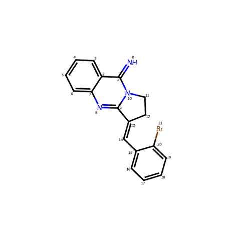 N=c1c2ccccc2nc2n1CC/C2=C\c1ccccc1Br